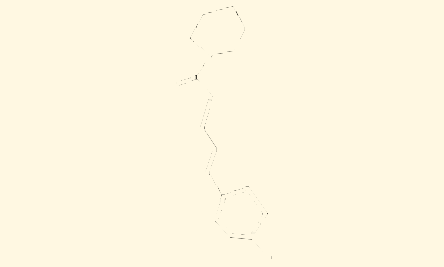 O=C(/C=C/C=C/c1ccc(O)cc1)N1CCCCC1